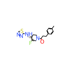 Cc1ccc(CCC(=O)N2CC[C@@H](CNc3nncs3)[C@@H](F)C2)cc1